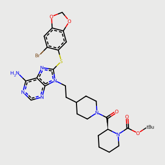 CC(C)(C)OC(=O)N1CCCC[C@H]1C(=O)N1CCC(CCn2c(Sc3cc4c(cc3Br)OCO4)nc3c(N)ncnc32)CC1